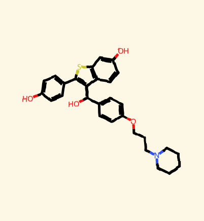 Oc1ccc(-c2sc3cc(O)ccc3c2C(O)c2ccc(OCCCN3CCCCC3)cc2)cc1